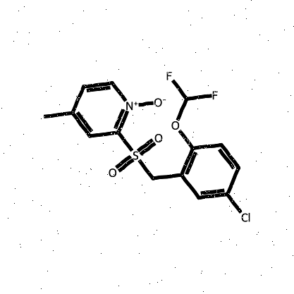 Cc1cc[n+]([O-])c(S(=O)(=O)Cc2cc(Cl)ccc2OC(F)F)c1